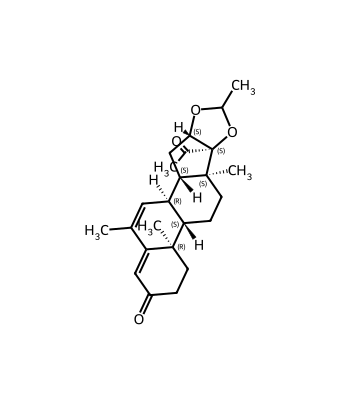 CC(=O)[C@@]12OC(C)O[C@H]1C[C@H]1[C@@H]3C=C(C)C4=CC(=O)CC[C@]4(C)[C@H]3CC[C@@]12C